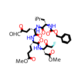 COC(=O)CCC[C@H](NC(=O)[C@H](CCC(=O)C=O)NC(=O)[C@H](CC(C)C)NC(=O)OCc1ccccc1)C(=O)N[C@@H](CC(=O)OC)C(=O)CF